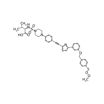 COOSc1ccc(COc2cccc(-c3csc(C#Cc4ccc(N5CCN(S(=O)(=O)N[C@@H](C(=O)O)C(C)C)CC5)cc4)n3)c2)cc1